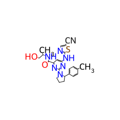 Cc1ccc(C2CCCN2c2nc(Nc3ncc(C#N)s3)cc(C(=O)NC(C)CO)n2)cc1